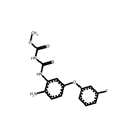 COC(=O)NC(=S)Nc1cc(Oc2cccc(F)c2)ccc1N